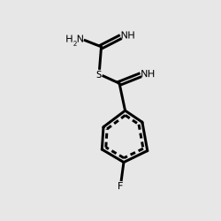 N=C(N)SC(=N)c1ccc(F)cc1